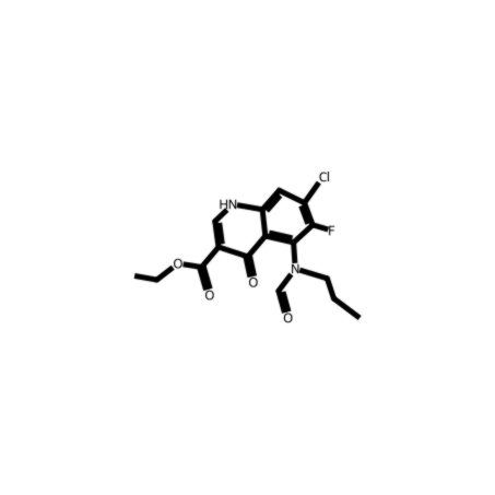 CCCN(C=O)c1c(F)c(Cl)cc2[nH]cc(C(=O)OCC)c(=O)c12